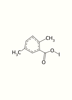 Cc1ccc(C)c(C(=O)OI)c1